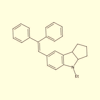 CCN1c2ccc(C=C(c3ccccc3)c3ccccc3)cc2C2CCCC21